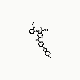 CCOc1ccccc1Nc1cc(Nc2ccc(N3CC4(CCN(C)CC4)C3)cn2)ncc1C(N)=O